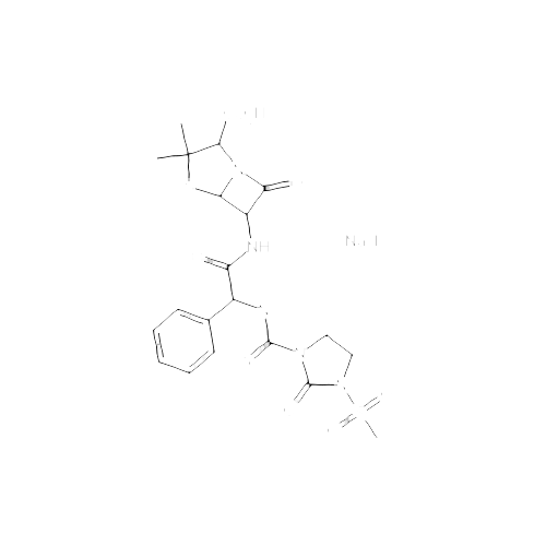 CC1(C)SC2C(NC(=O)C(NC(=O)N3CCN(S(C)(=O)=O)C3=O)c3ccccc3)C(=O)N2C1C(=O)O.[NaH]